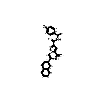 CC(NC(=O)c1cc2c(=O)[nH]c(-c3ccc4ccccc4c3)cn2n1)c1ccc(O)cc1